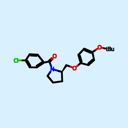 CC(C)(C)Oc1ccc(OC[C@H]2CCCN2C(=O)c2ccc(Cl)cc2)cc1